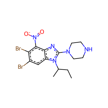 CCC(C)n1c(N2CCNCC2)nc2c([N+](=O)[O-])c(Br)c(Br)cc21